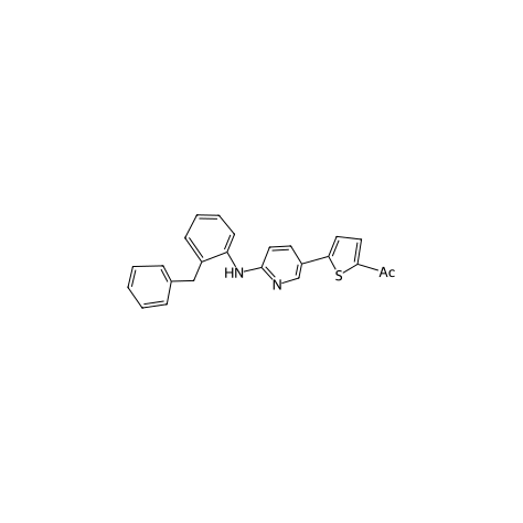 CC(=O)c1ccc(-c2ccc(Nc3ccccc3Cc3ccccc3)nc2)s1